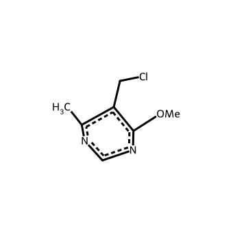 COc1ncnc(C)c1CCl